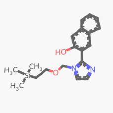 C[Si](C)(C)CCOCn1ccnc1-c1cc2ccccc2cc1O